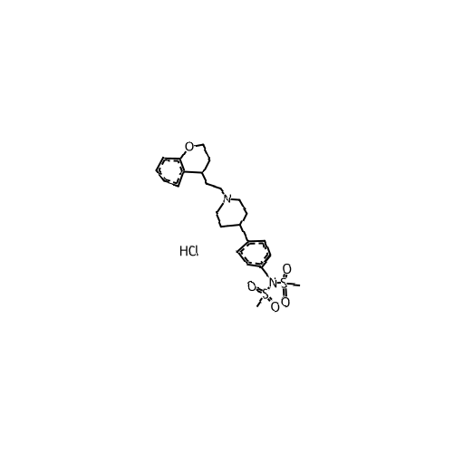 CS(=O)(=O)N(c1ccc(C2CCN(CCC3CCOc4ccccc43)CC2)cc1)S(C)(=O)=O.Cl